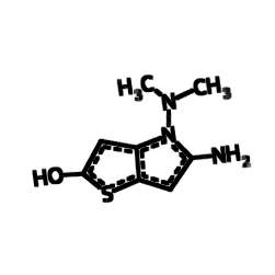 CN(C)n1c(N)cc2sc(O)cc21